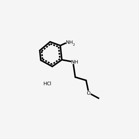 COCCNc1ccccc1N.Cl